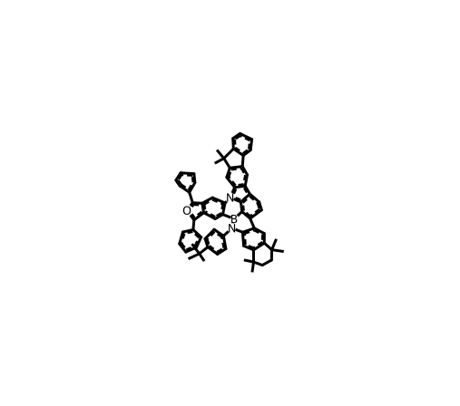 CC(C)(C)c1ccc(N2B3c4cc5c(-c6ccccc6)oc(-c6ccccc6)c5cc4-n4c5cc6c(cc5c5ccc(c3c54)-c3cc4c(cc32)C(C)(C)CCC4(C)C)-c2ccccc2C6(C)C)cc1